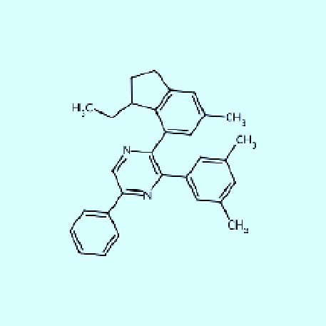 CCC1CCc2cc(C)cc(-c3ncc(-c4ccccc4)nc3-c3cc(C)cc(C)c3)c21